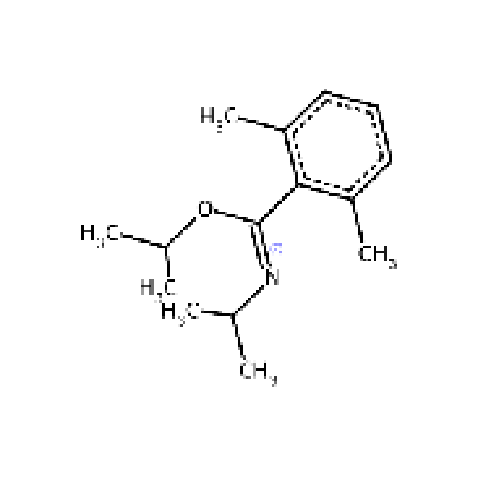 Cc1cccc(C)c1/C(=N/C(C)C)OC(C)C